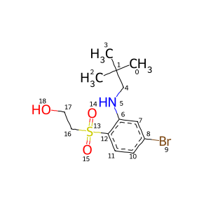 CC(C)(C)CNc1cc(Br)ccc1S(=O)(=O)CCO